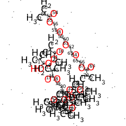 C=C(C)C(=O)O.C=C(C)C(=O)OC.C=C(C)C(=O)OCCC[Si](O[Si](C)(C)O[Si](C)(C)C)(O[Si](C)(C)O[Si](C)(C)C)O[Si](C)(C)O[Si](C)(C)C.C=C(C)C(=O)OCCOCCOCCOCCOC(=O)C(=C)C